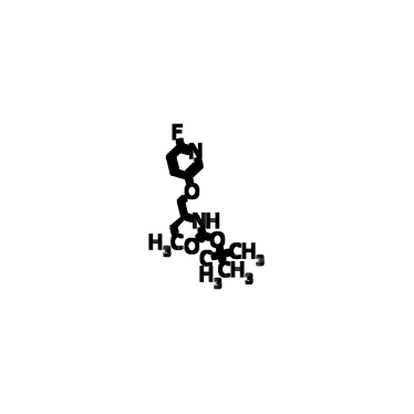 CC[C@@H](COc1ccc(F)nc1)NC(=O)OC(C)(C)C